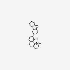 C1=CC2OC3=C(CC(C4C=CC5=C(N4)C4=C(C=CCN4)CC5)C=C3)C2C=C1